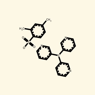 Cc1ccc(S(=O)(=O)[O-])c(C)c1.c1cncc([S+](c2cccnc2)c2cccnc2)c1